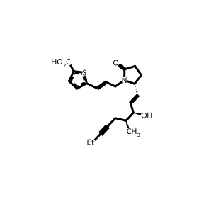 CCC#CC[C@H](C)[C@H](O)C=C[C@H]1CCC(=O)N1CC=Cc1ccc(C(=O)O)s1